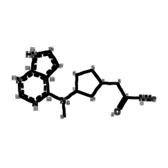 CNC(=O)CC1CCC(N(C)c2ncnc3[nH]ccc23)C1